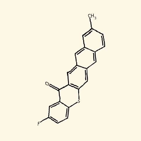 Cc1ccc2cc3cc4sc5ccc(F)cc5c(=O)c4cc3cc2c1